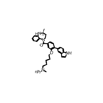 CCCN(C)CCCCCOc1cc(C(=O)N2CC[C@H](C)Nc3ccccc32)ccc1-c1ccc2[nH]ccc2c1